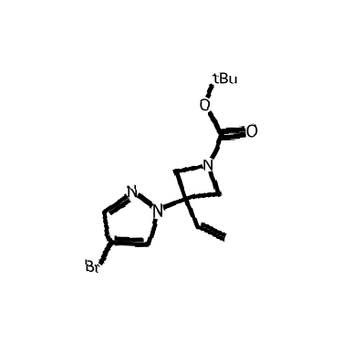 C=CC1(n2cc(Br)cn2)CN(C(=O)OC(C)(C)C)C1